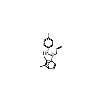 C=CC[C@H](Nc1ccc(C)cc1)C12C=CC(O1)C(C)=C2C